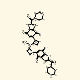 CN(C1CCN1C1=CC(=O)c2sc(C(=O)N3CCOCC3)nc2C1=O)C1CCN1C1=CC(=O)c2sc(C(=O)N3CCOCC3)nc2C1=O